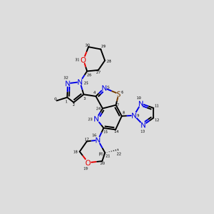 Cc1cc(-c2nsc3c(-n4nccn4)cc(N4CCOC[C@H]4C)nc23)n(C2CCCCO2)n1